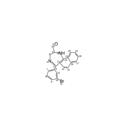 O=CC1CN=C(c2cccc(Br)c2)c2ccc3ccccc3c2N1